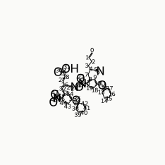 C=CCCC(C#N)Cc1cc(Oc2ccccc2)ccc1[N+](=O)[O-].N#CC(CCC(=O)O)Cc1cc(Oc2ccccc2)ccc1[N+](=O)[O-]